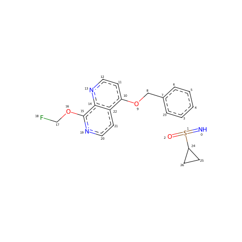 N=[S@](=O)(c1cccc(COc2ccnc3c(OCF)nccc23)c1)C1CC1